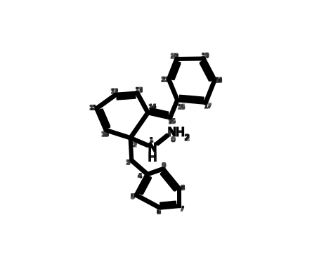 NNC1(Cc2ccccc2)C=CC=CC1=Cc1ccccc1